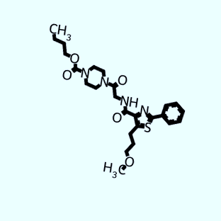 CCCCOC(=O)N1CCN(C(=O)CNC(=O)c2nc(-c3ccccc3)sc2CCCOC)CC1